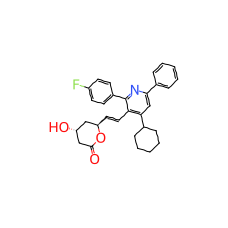 O=C1C[C@H](O)C[C@@H](/C=C/c2c(C3CCCCC3)cc(-c3ccccc3)nc2-c2ccc(F)cc2)O1